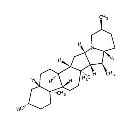 C[C@H]1CC[C@@H]2[C@@H](C)[C@H]3[C@H](C[C@H]4[C@@H]5CC[C@H]6C[C@@H](O)CC[C@]6(C)[C@H]5CC[C@]34C)N2C1